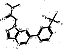 CN(C)C(=O)Cn1ncc2ncc(-c3cccc(C(C)(F)F)c3)cc21